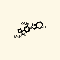 CNC1=Nc2cc(-n3cc4c(n3)CCCNC4)c(OC)cc2C12CCC2